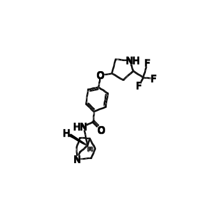 O=C(N[C@H]1CN2CCC1CC2)c1ccc(OC2CNC(C(F)(F)F)C2)cc1